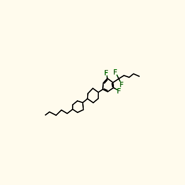 CCCCCC1CCC(C2CCC(c3cc(F)c(C(F)(F)CCCC)c(F)c3)CC2)CC1